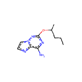 CCCC(C)Oc1nc(N)c2nccn2n1